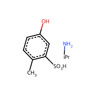 CC(C)N.Cc1ccc(O)cc1S(=O)(=O)O